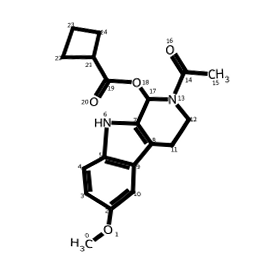 COc1ccc2[nH]c3c(c2c1)CCN(C(C)=O)C3OC(=O)C1CCC1